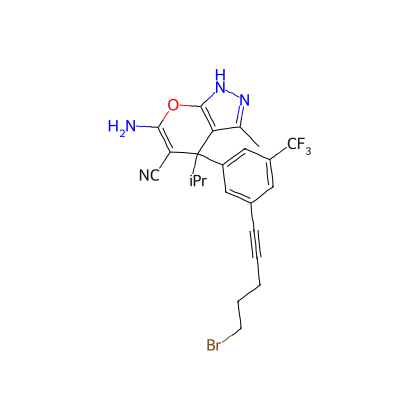 Cc1n[nH]c2c1C(c1cc(C#CCCCBr)cc(C(F)(F)F)c1)(C(C)C)C(C#N)=C(N)O2